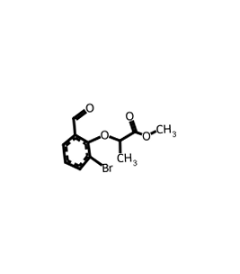 COC(=O)C(C)Oc1c(Br)cccc1C=O